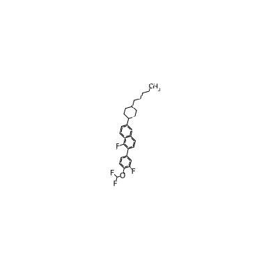 CCCCCC1CCC(c2ccc3c(F)c(-c4ccc(OC(F)F)c(F)c4)ccc3c2)CC1